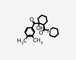 Cc1ccc(C(=O)C2(O)CCCCC2C(=O)N2CCCCC2)cc1C